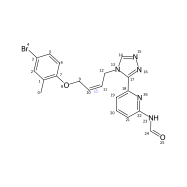 Cc1cc(Br)ccc1OC/C=C\Cn1cnnc1-c1cccc(NC=O)n1